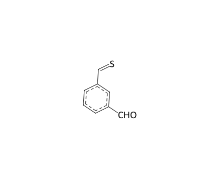 O=Cc1cccc(C=S)c1